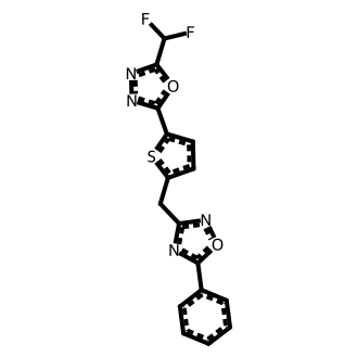 FC(F)c1nnc(-c2ccc(Cc3noc(-c4ccccc4)n3)s2)o1